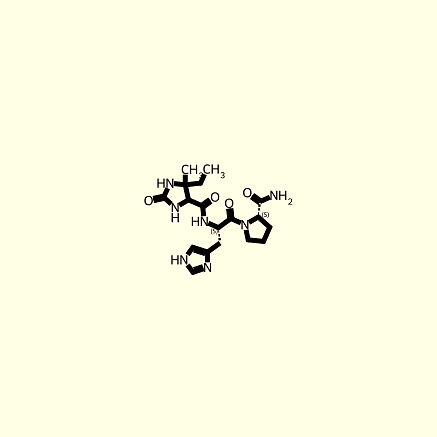 CCC1(C)NC(=O)NC1C(=O)N[C@@H](Cc1c[nH]cn1)C(=O)N1CCC[C@H]1C(N)=O